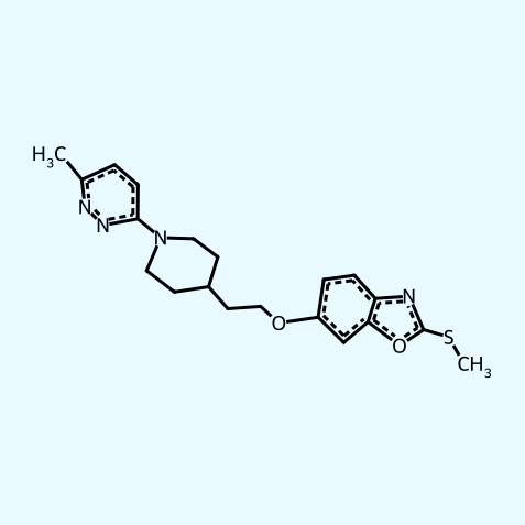 CSc1nc2ccc(OCCC3CCN(c4ccc(C)nn4)CC3)cc2o1